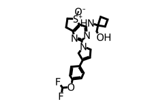 [O-][S@+]1CCc2nc(N3CC=C(c4ccc(OC(F)F)cc4)C3)nc(NC3(CO)CCC3)c21